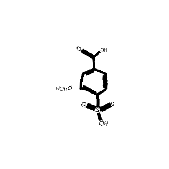 Cl.Cl.O=C(O)c1ccc(S(=O)(=O)O)cc1